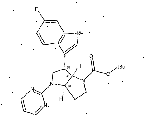 CC(C)(C)OC(=O)N1CC[C@@H]2[C@H]1[C@@H](c1c[nH]c3cc(F)ccc13)CN2c1ncccn1